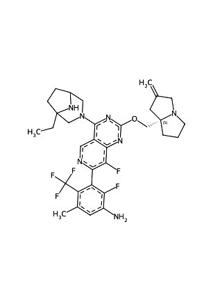 C=C1CN2CCC[C@@]2(COc2nc(N3CC4CCC(CC)(C3)N4)c3cnc(-c4c(F)c(N)cc(C)c4C(F)(F)F)c(F)c3n2)C1